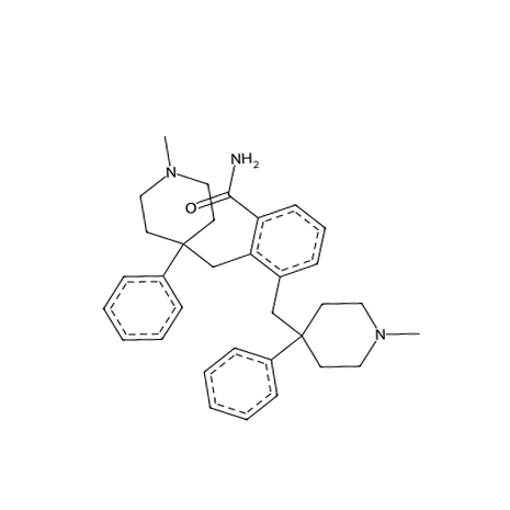 CN1CCC(Cc2cccc(C(N)=O)c2CC2(c3ccccc3)CCN(C)CC2)(c2ccccc2)CC1